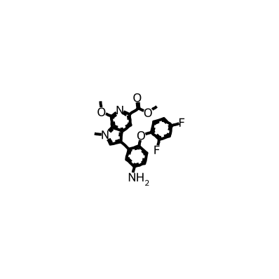 COC(=O)c1cc2c(-c3cc(N)ccc3Oc3ccc(F)cc3F)cn(C)c2c(OC)n1